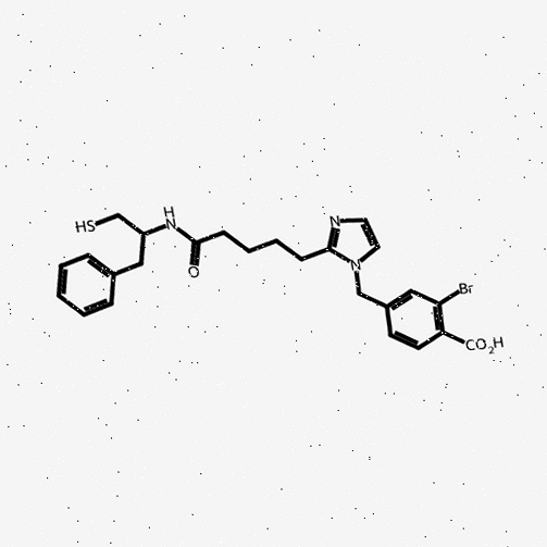 O=C(CCCCc1nccn1Cc1ccc(C(=O)O)c(Br)c1)NC(CS)Cc1ccccc1